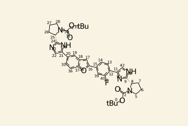 CC(C)(C)OC(=O)N1CCC[C@H]1c1nc(-c2ccc(-c3cc4cc(-c5cnc([C@@H]6CCCN6C(=O)OC(C)(C)C)[nH]5)ccc4o3)cc2F)c[nH]1